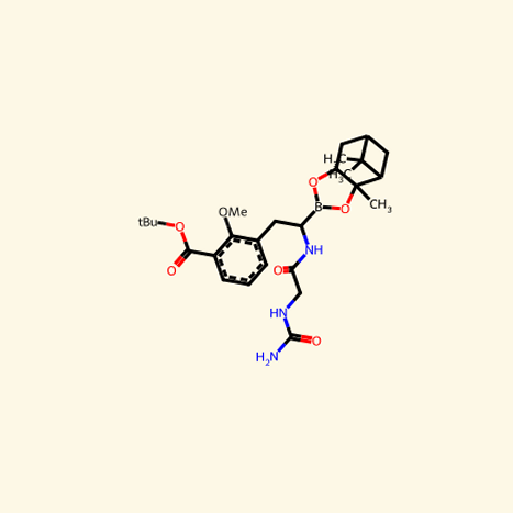 COc1c(CC(NC(=O)CNC(N)=O)B2OC3CC4CC(C4(C)C)C3(C)O2)cccc1C(=O)OC(C)(C)C